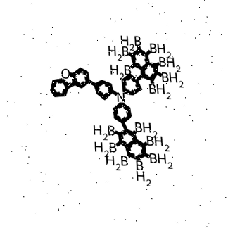 Bc1c(B)c(B)c2c(B)c(-c3ccc(N(c4ccc(-c5ccc6oc7ccccc7c6c5)cc4)c4ccc(-c5c(B)c(B)c(B)c6c(B)c(B)c(B)c(B)c56)cc4)cc3)c(B)c(B)c2c1B